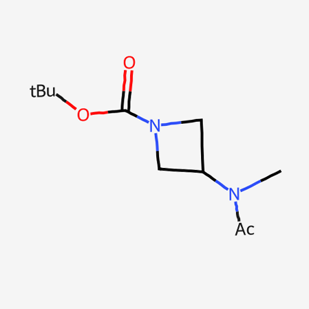 CC(=O)N(C)C1CN(C(=O)OC(C)(C)C)C1